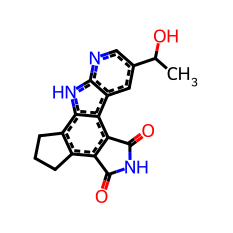 CC(O)c1cnc2[nH]c3c4c(c5c(c3c2c1)C(=O)NC5=O)CCC4